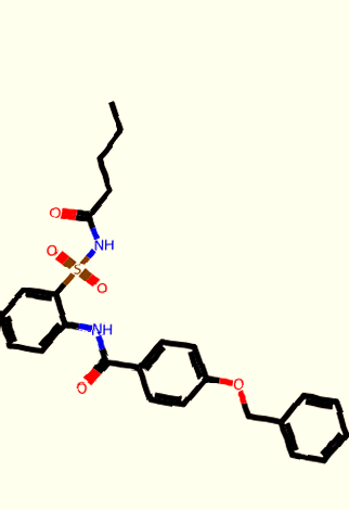 CCCCC(=O)NS(=O)(=O)c1ccccc1NC(=O)c1ccc(OCc2ccccc2)cc1